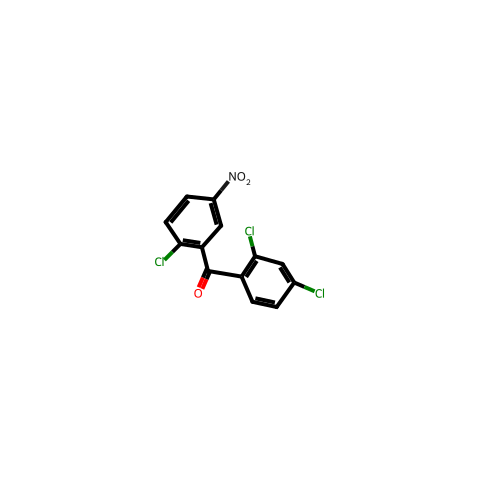 O=C(c1ccc(Cl)cc1Cl)c1cc([N+](=O)[O-])ccc1Cl